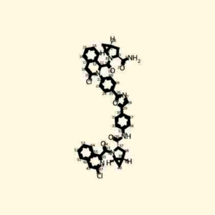 NC(=O)[C@@H]1C[C@@H]2C[C@@H]2N1C(=O)C1c2ccccc2C=C(Cl)N1c1ccc(-c2ncc(-c3ccc(NC(=O)[C@@H]4C[C@@H]5C[C@@H]5N4C(=O)c4nc(Cl)cc5ccccc45)cc3)o2)cc1